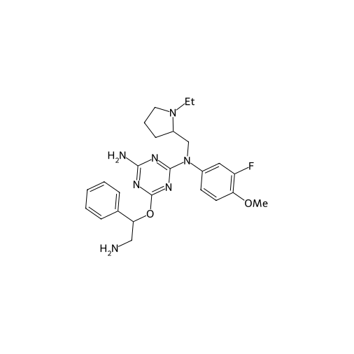 CCN1CCCC1CN(c1ccc(OC)c(F)c1)c1nc(N)nc(OC(CN)c2ccccc2)n1